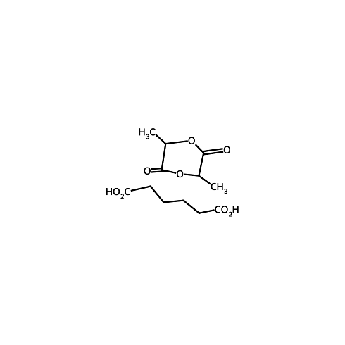 CC1OC(=O)C(C)OC1=O.O=C(O)CCCCC(=O)O